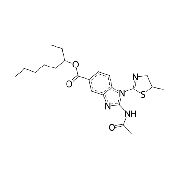 CCCCCC(CC)OC(=O)c1ccc2c(c1)nc(NC(C)=O)n2C1=NCC(C)S1